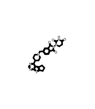 O=C1CCN(N2C(=O)c3ccc(CN4CCC(c5ncnc6sc7c(c56)CCC7)CC4)cc3C2=O)C(=O)N1